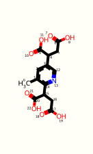 Cc1cc(C(CC(=O)O)C(=O)O)cnc1C(CC(=O)O)C(=O)O